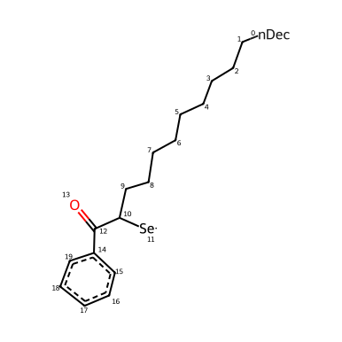 CCCCCCCCCCCCCCCCCCCC([Se])C(=O)c1ccccc1